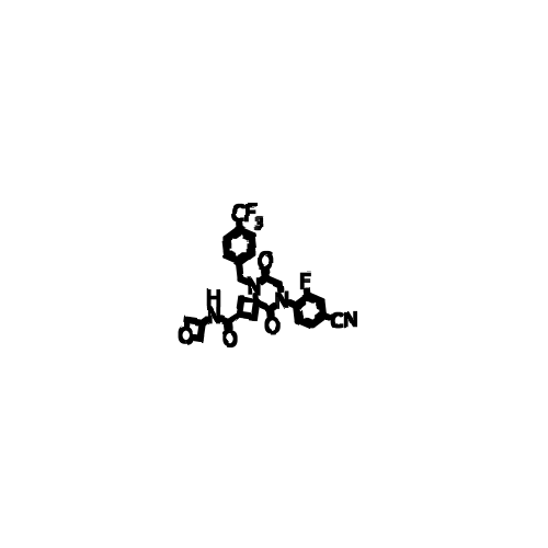 N#Cc1ccc(N2CC(=O)N(Cc3ccc(C(F)(F)F)cc3)[C@]3(C[C@H](C(=O)NC4COC4)C3)C2=O)c(F)c1